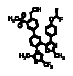 Cc1nc(-c2ccc(OC(F)F)cc2)c(-c2cc(-c3ccc(CO)c(S(C)(=O)=O)c3)ccc2-n2cc(C(F)(F)F)nc2C)o1